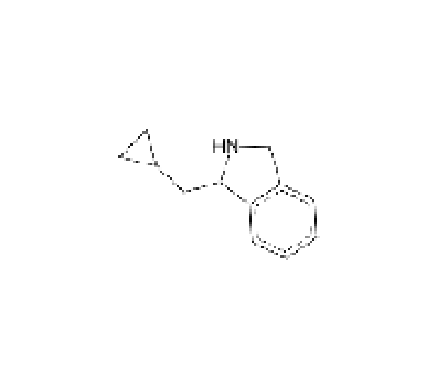 c1ccc2c(c1)CNC2CC1CC1